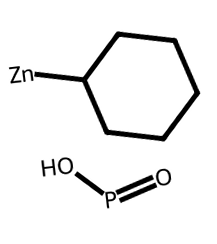 O=PO.[Zn][CH]1CCCCC1